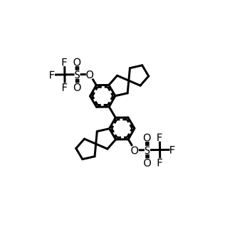 O=S(=O)(Oc1ccc(-c2ccc(OS(=O)(=O)C(F)(F)F)c3c2CC2(CCCC2)C3)c2c1CC1(CCCC1)C2)C(F)(F)F